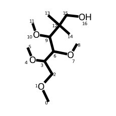 COCC(OC)C(OC)C(OC)C(C)(C)CO